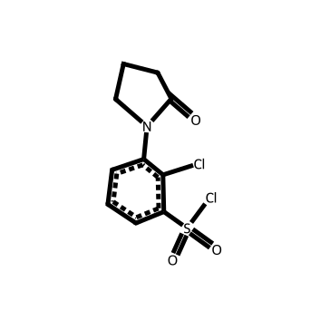 O=C1CCCN1c1cccc(S(=O)(=O)Cl)c1Cl